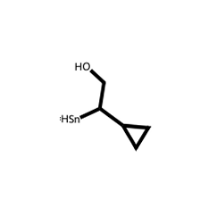 OC[CH]([SnH])C1CC1